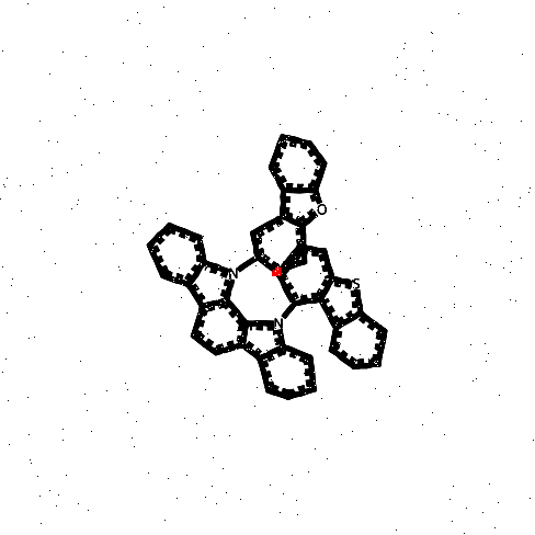 c1ccc2c(c1)oc1ccc(-n3c4ccccc4c4ccc5c6ccccc6n(-c6cccc7sc8ccccc8c67)c5c43)cc12